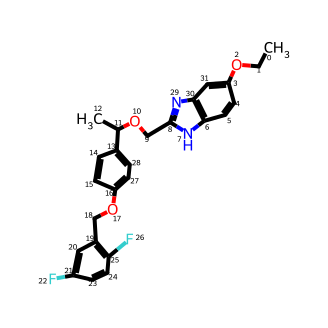 CCOc1ccc2[nH]c(COC(C)c3ccc(OCc4cc(F)ccc4F)cc3)nc2c1